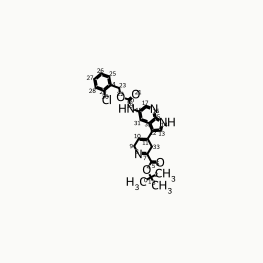 CC(C)(C)OC(=O)C1=NCC=C(c2c[nH]c3ncc(NC(=O)OCc4ccccc4Cl)cc23)C1